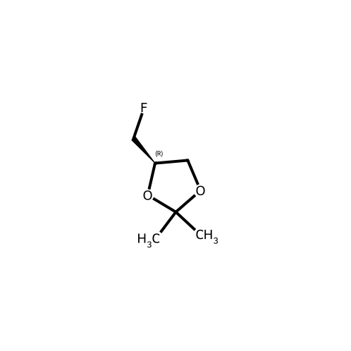 CC1(C)OC[C@H](CF)O1